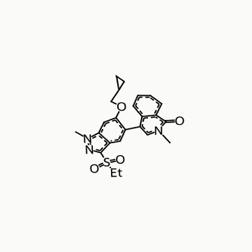 CCS(=O)(=O)c1nn(C)c2cc(OCC3CC3)c(-c3cn(C)c(=O)c4ccccc34)cc12